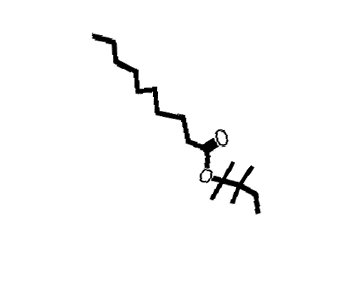 CCCCCCCCCC(=O)OC(C)(C)C(C)(C)CC